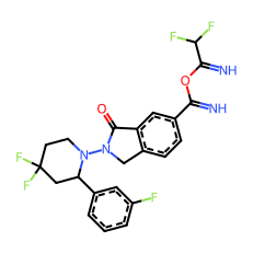 N=C(OC(=N)C(F)F)c1ccc2c(c1)C(=O)N(N1CCC(F)(F)CC1c1cccc(F)c1)C2